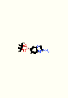 CC1(C)OB(c2ccc3nc(N)cnc3c2)OC1(C)C